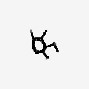 COc1c(F)ccc(I)c1F